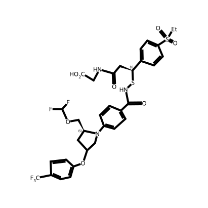 CCS(=O)(=O)c1ccc([C@H](CC(=O)NCC(=O)O)SNC(=O)c2ccc(N3CC(Oc4ccc(C(F)(F)F)cc4)C[C@H]3COC(F)F)cc2)cc1